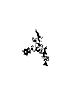 C=CC1CC1(NC(=O)[C@@H]1C[C@@H](OC(=O)N2Cc3cccc(F)c3C2)CN1C(=O)[C@H](CCC(=O)C#CC)NC(=O)OC(C)(C)C)C(=O)NS(=O)(=O)C1CC1